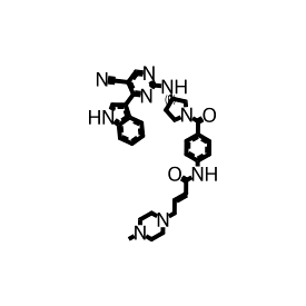 CN1CCN(CC=CC(=O)Nc2ccc(C(=O)N3CC[C@@H](Nc4ncc(C#N)c(-c5c[nH]c6ccccc56)n4)C3)cc2)CC1